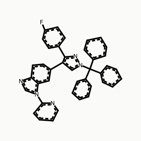 Fc1ccc(-c2nn(C(c3ccccc3)(c3ccccc3)c3ccccc3)cc2-c2ccc3ncn(-c4ccccn4)c3c2)cc1